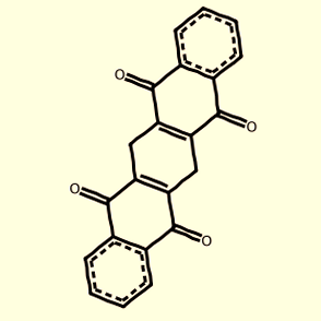 O=C1C2=C(CC3=C(C2)C(=O)c2ccccc2C3=O)C(=O)c2ccccc21